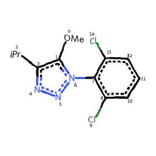 COc1c(C(C)C)nnn1-c1c(Cl)cccc1Cl